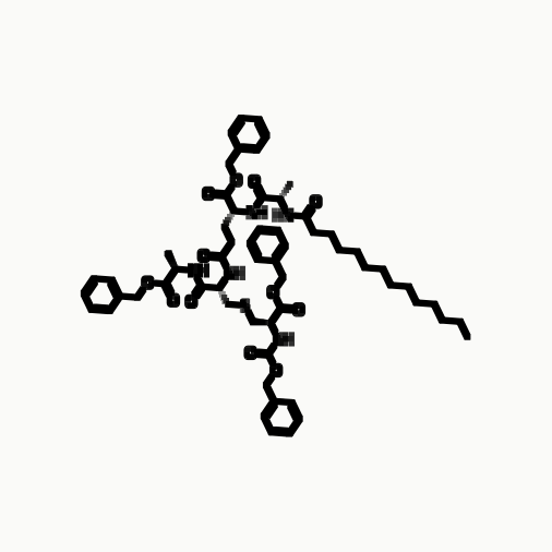 CCCCCCCCCCCCCC(=O)N[C@@H](C)C(=O)N[C@H](CCC(=O)N[C@H](CSC[C@H](NC(=O)OCc1ccccc1)C(=O)OCc1ccccc1)C(=O)N[C@H](C)C(=O)OCc1ccccc1)C(=O)OCc1ccccc1